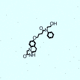 O=C1CN2C(=CCc3cc(OCCCC(=O)N(CCO)c4ccccc4)ccc32)N1